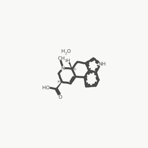 CN1C[C@H](C(=O)O)C=C2c3cccc4[nH]cc(c34)C[C@H]21.O